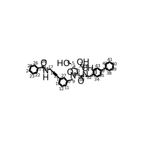 C[C@@H](O)[C@H]1[C@@H](CO)ON(Cc2cccc(C#CCNC(=O)c3ccccc3)c2)[C@H]1C(=O)NCc1ccc(-c2ccccc2)cc1